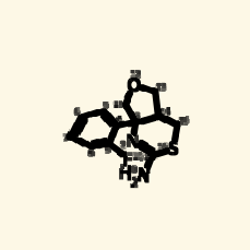 NC1=NC2(c3ccccc3F)COCC2CS1